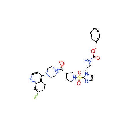 O=C(NCCn1ccnc1S(=O)(=O)N1CC[C@H](C(=O)N2CCN(c3ccnc4cc(F)ccc34)CC2)C1)OCc1ccccc1